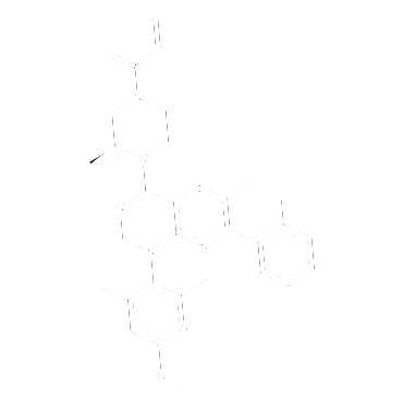 C=CC(=O)N1CCN(C2=NCN(c3c(C)cc(N)nc3C(C)C)c3nc(-c4ccccc4F)c(Cl)cc32)[C@@H](C)C1